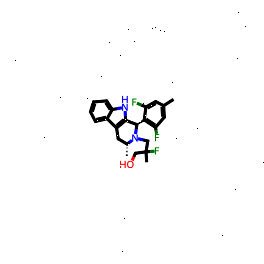 Cc1cc(F)c([C@@H]2c3[nH]c4ccccc4c3C[C@@H](C)N2CC(C)(F)CO)c(F)c1